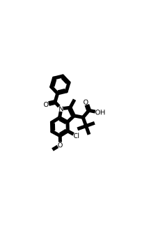 COc1ccc2c(c1Cl)c(C(C(=O)O)C(C)(C)C)c(C)n2C(=O)c1ccccc1